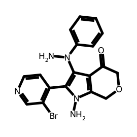 NN(c1ccccc1)c1c2c(n(N)c1-c1ccncc1Br)COCC2=O